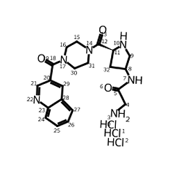 Cl.Cl.Cl.NCC(=O)NC1CN[C@H](C(=O)N2CCN(C(=O)c3cnc4ccccc4c3)CC2)C1